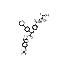 O=C(NC[C@@H](O)C(=O)O)c1ccc(CN(C(=O)Nc2nc3ccc(OC(F)(F)F)cc3s2)c2ccc(C3CCCCC3)cc2)cc1